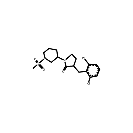 CS(=O)(=O)N1CCCC(N2CCC(Cc3c(Cl)cccc3Cl)C2=O)C1